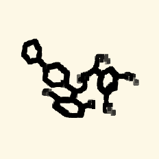 CC(NCC(c1c(Cl)cccc1Cl)N1CCN(C2CCCCC2)CC1)c1cc(C(F)(F)F)cc(C(F)(F)F)c1